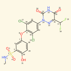 CNS(=O)(=O)c1cc(Oc2c(Cl)cc(-n3nc(C(F)F)c(=O)[nH]c3=O)cc2Cl)ccc1O